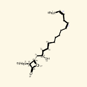 CCCCC/C=C\C/C=C\CCCCCCC[C@@H](O)C[C@@H]1OC(=O)[C@H]1CCCCCC